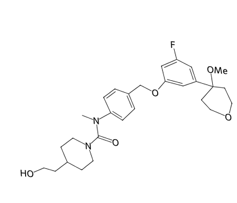 COC1(c2cc(F)cc(OCc3ccc(N(C)C(=O)N4CCC(CCO)CC4)cc3)c2)CCOCC1